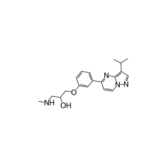 CNCC(O)COc1cccc(-c2ccn3ncc(C(C)C)c3n2)c1